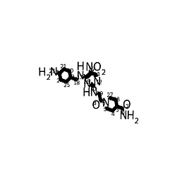 NC(=O)C1CCN(C(=O)CNc2ncc([N+](=O)[O-])c(NCC3CCC(N)CC3)n2)CC1